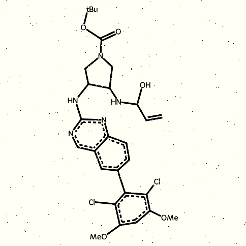 C=CC(O)NC1CN(C(=O)OC(C)(C)C)CC1Nc1ncc2cc(-c3c(Cl)c(OC)cc(OC)c3Cl)ccc2n1